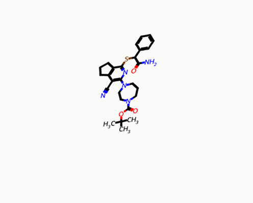 CC(C)(C)OC(=O)N1CCCN(c2nc(SC(C(N)=O)c3ccccc3)c3c(c2C#N)CCC3)CC1